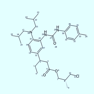 CCC(CC(=O)OC[C@@H](C)CCl)c1ccc(N(CC(C)C)CC(C)C)c(NC(=O)Nc2ccc(C)cc2)c1